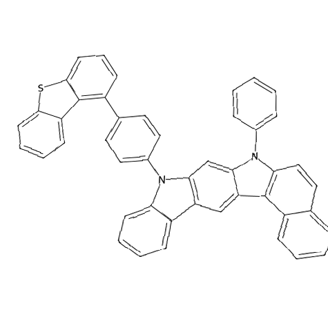 c1ccc(-n2c3cc4c(cc3c3c5ccccc5ccc32)c2ccccc2n4-c2ccc(-c3cccc4sc5ccccc5c34)cc2)cc1